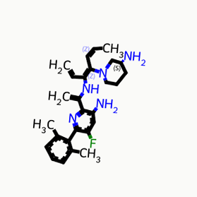 C=C/C(NC(=C)c1nc(-c2c(C)cccc2C)c(F)cc1N)=C(\C=C/C)N1CCC[C@H](N)C1